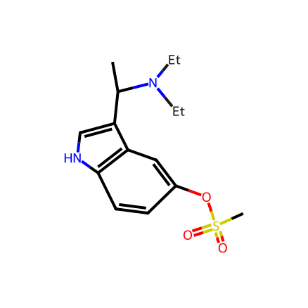 CCN(CC)C(C)c1c[nH]c2ccc(OS(C)(=O)=O)cc12